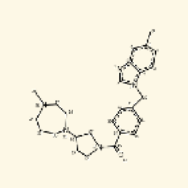 Cc1ccc2c(c1)ncn2Cc1ccc(C(=O)N2CCC(N3CCCN(C)CC3)C2)cc1